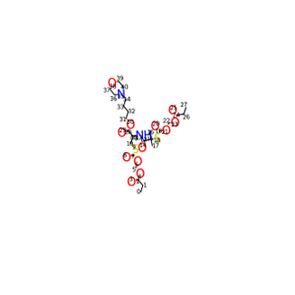 CCC(=O)OCOC(=O)SC[C@H](NC(=O)C(C)(C)SC(=O)OCOC(=O)CC)C(=O)OCCCCN1CCOCC1